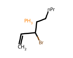 C=CC(Br)CCCCC.P